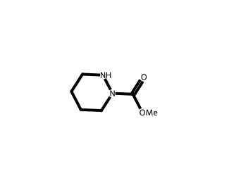 COC(=O)N1CCCCN1